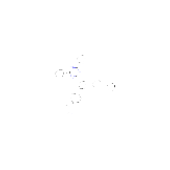 C/C=C\C1=C(CF)C(C)(C)c2cc(-c3cc(-c4ccc5c(c4)C(C)(C)c4ccccc4-5)cc(-c4nc(-c5ccccc5)nc(-c5ccccc5)n4)c3)ccc21